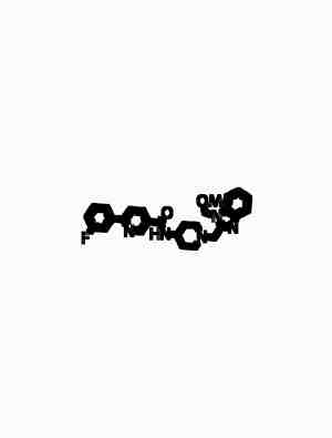 COCn1c(CN2CCC(NC(=O)c3ccc(-c4cccc(F)c4)nc3)CC2)nc2ccccc21